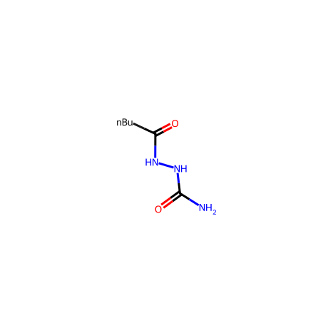 CCCCC(=O)NNC(N)=O